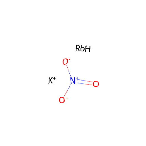 O=[N+]([O-])[O-].[K+].[RbH]